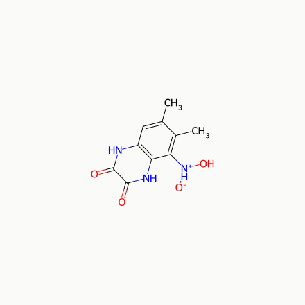 Cc1cc2[nH]c(=O)c(=O)[nH]c2c([NH+]([O-])O)c1C